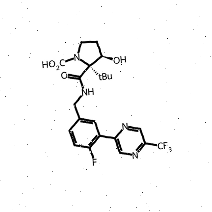 CC(C)(C)[C@@]1(C(=O)NCc2ccc(F)c(-c3cnc(C(F)(F)F)cn3)c2)[C@H](O)CCN1C(=O)O